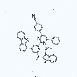 C=C(c1cc(-c2nc(-c3ccccc3)cc(-c3ccc(C#N)cc3)n2)cc(-c2cccc3c2sc2ccccc23)c1)c1sc2ccccc2c1/C=C\C